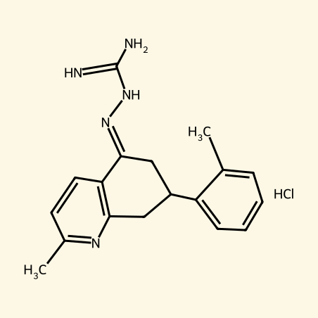 Cc1ccc2c(n1)CC(c1ccccc1C)CC2=NNC(=N)N.Cl